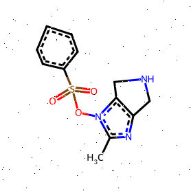 Cc1nc2c(n1OS(=O)(=O)c1ccccc1)CNC2